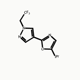 CC(C)c1cnc(-c2cnn(CC(F)(F)F)c2)o1